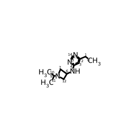 CCc1cc(NC2CN(C(C)C)C2)ncn1